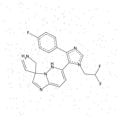 C=CC1(CN)C=NC2=CC=C(c3c(-c4ccc(F)cc4)ncn3CC(F)F)NN21